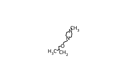 C=C(C)COCCN1CCN(C)CC1